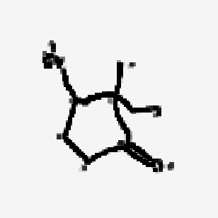 CC(C)C1CCC(=O)C1(C)C